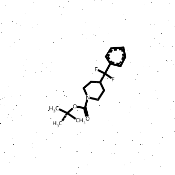 CC(C)(C)OC(=O)N1CCC(C(F)(F)c2ccccc2)CC1